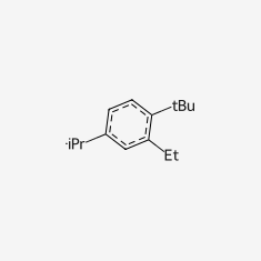 CCc1cc([C](C)C)ccc1C(C)(C)C